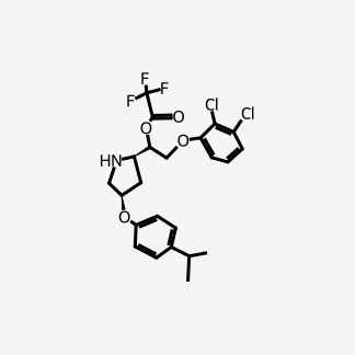 CC(C)c1ccc(O[C@H]2CN[C@@H](C(COc3cccc(Cl)c3Cl)OC(=O)C(F)(F)F)C2)cc1